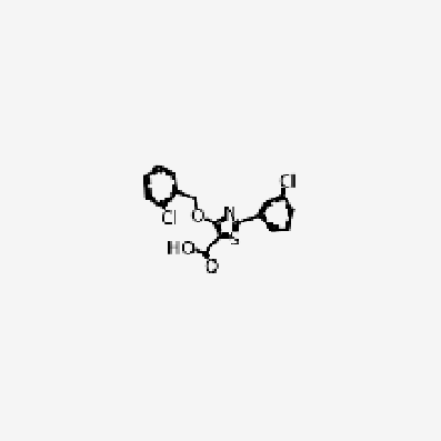 O=C(O)c1sc(-c2cccc(Cl)c2)nc1OCc1ccccc1Cl